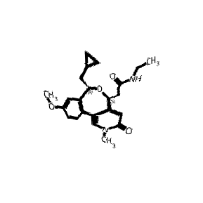 CCNC(=O)C[C@@H]1O[C@H](CC2CC2)c2cc(OC)ccc2-c2cn(C)c(=O)cc21